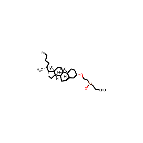 CC(C)CCC[C@@H](C)[C@H]1CC[C@H]2[C@@H]3CC=C4C[C@@H](OCC[S+]([O-])CCC=O)CC[C@]4(C)[C@H]3CC[C@]12C